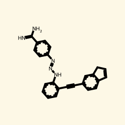 N=C(N)c1ccc(/N=N/Nc2ccccc2C#Cc2ccc3c(c2)CC=C3)cc1